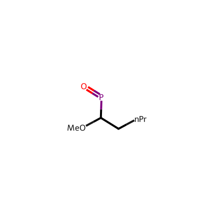 CCCCC(OC)P=O